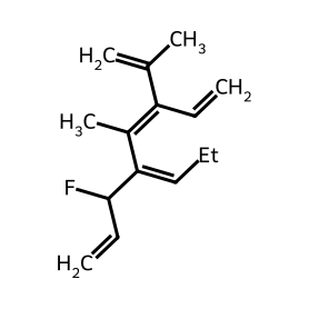 C=C/C(C(=C)C)=C(C)\C(=C/CC)C(F)C=C